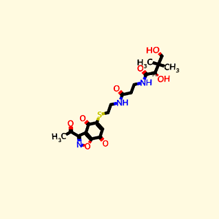 CC(=O)c1noc2c1C(=O)C(SCCNC(=O)CCNC(=O)[C@H](O)C(C)(C)CO)=CC2=O